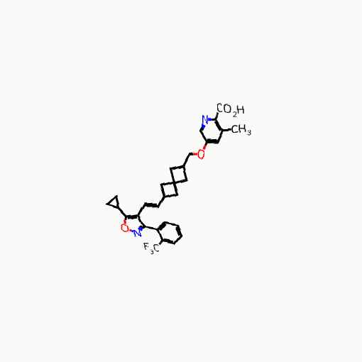 Cc1cc(OCC2CC3(CC(C=Cc4c(-c5ccccc5C(F)(F)F)noc4C4CC4)C3)C2)cnc1C(=O)O